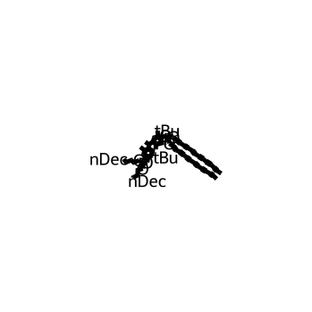 CC#CC#CC#CC#CC#CC#COP(OC#CC#CC#CC#CC#CC#CC)Oc1cc(C)c(C(C)c2cc(C(C)(C)C)c(OP(OCCCCCCCCCCCCC)OCCCCCCCCCCCCC)cc2C)cc1C(C)(C)C